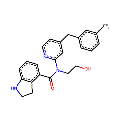 O=C(c1cccc2c1CCN2)N(CCO)c1cc(Cc2cccc(C(F)(F)F)c2)ccn1